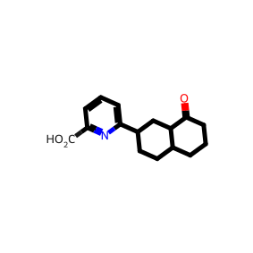 O=C(O)c1cccc(C2CCC3CCCC(=O)C3C2)n1